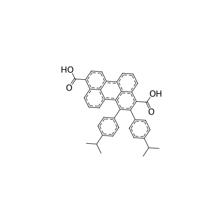 CC(C)c1ccc(-c2c(C(=O)O)c3cccc4c5ccc(C(=O)O)c6cccc(c(c2-c2ccc(C(C)C)cc2)c34)c65)cc1